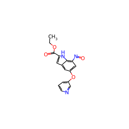 CCOC(=O)c1cc2cc(Oc3cccnc3)cc(N=O)c2[nH]1